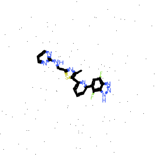 Cc1nc(CNc2ncccn2)sc1-c1cccc(-c2cc(F)c3nn[nH]c3c2F)n1